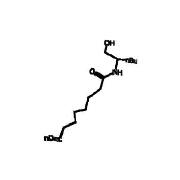 CCCCCCCCCCCCCCCCC(=O)NC(CO)CCCC